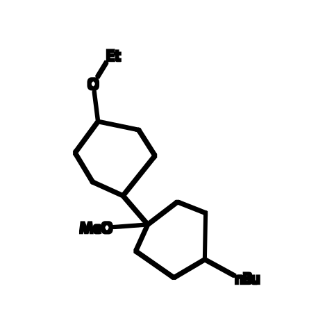 CCCCC1CCC(OC)(C2CCC(OCC)CC2)CC1